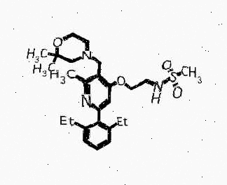 CCc1cccc(CC)c1-c1cc(OCCNS(C)(=O)=O)c(CN2CCOC(C)(C)C2)c(C)n1